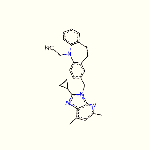 Cc1cc(C)c2nc(C3CC3)n(Cc3ccc4c(c3)CCc3ccccc3N4CC#N)c2n1